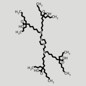 CCCCCCC(CCCC)(CCCCCCN(CCCCCCC(CCCC)(CCCCCC)C(=O)O)CCN1CCN(CCN(CCCCCCC(CCCC)(CCCCCC)C(=O)O)CCCCCCC(CCCC)(CCCCCC)C(=O)O)CC1)C(=O)O